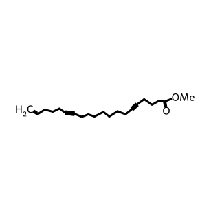 C=CCCCC#CCCCCCCCC#CCCCC(=O)OC